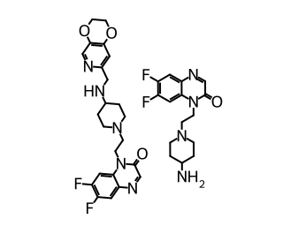 NC1CCN(CCn2c(=O)cnc3cc(F)c(F)cc32)CC1.O=c1cnc2cc(F)c(F)cc2n1CCN1CCC(NCc2cc3c(cn2)OCCO3)CC1